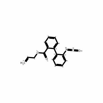 C=CCOC(=O)c1ccccc1-c1ccccc1N=C=O